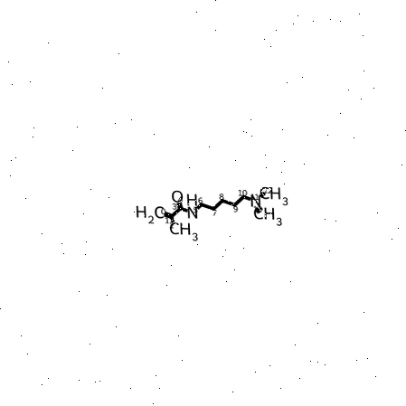 C=C(C)C(=O)NCCCCCN(C)C